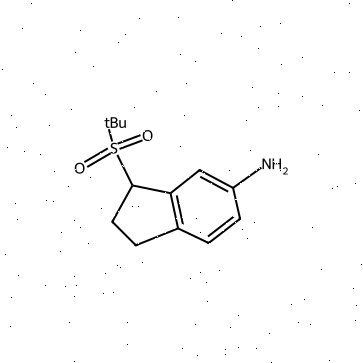 CC(C)(C)S(=O)(=O)C1CCc2ccc(N)cc21